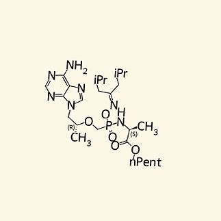 CCCCCOC(=O)[C@H](C)NP(=O)(CO[C@H](C)Cn1cnc2c(N)ncnc21)ON=C(CC(C)C)CC(C)C